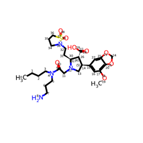 CCCCN(CCCN)C(=O)CN1C[C@H](c2cc(OC)c3c(c2)OCO3)[C@@H](C(=O)O)[C@@H]1CCN1CCCS1(=O)=O